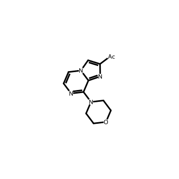 CC(=O)c1cn2ccnc(N3CCOCC3)c2n1